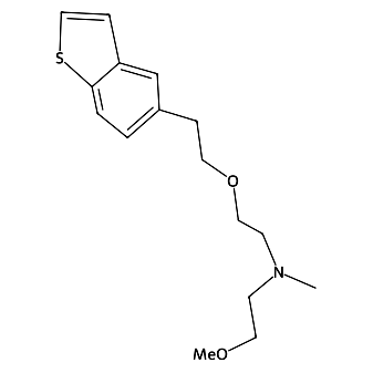 COCCN(C)CCOCCc1ccc2sccc2c1